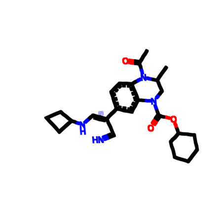 CC(=O)N1c2ccc(/C(C=N)=C/NC3CCC3)cc2N(C(=O)OC2CCCCC2)CC1C